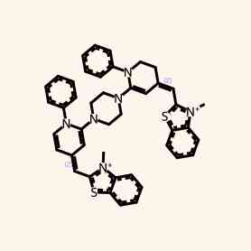 C[n+]1c(/C=C2/C=CN(c3ccccc3)C(N3CCN(C4=C/C(=C\c5sc6ccccc6[n+]5C)CCN4c4ccccc4)CC3)=C2)sc2ccccc21